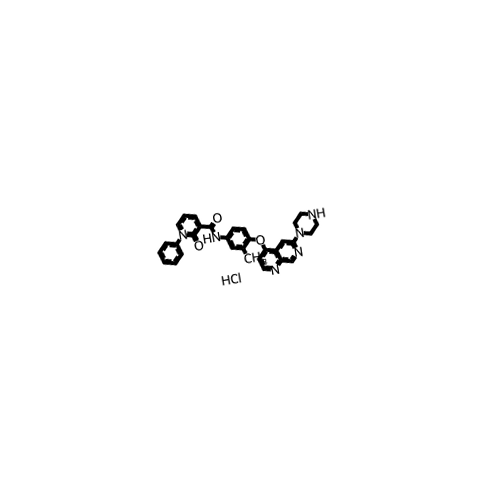 Cc1cc(NC(=O)c2cccn(-c3ccccc3)c2=O)ccc1Oc1ccnc2cnc(N3CCNCC3)cc12.Cl